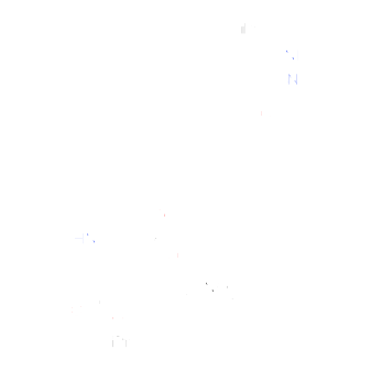 CC1=C(C(=O)OCCCCCCOc2cc(C(C)C)[nH]n2)C(c2cccc([N+](=O)[O-])c2)C(C(=O)OC(C)C)=C(C)N1